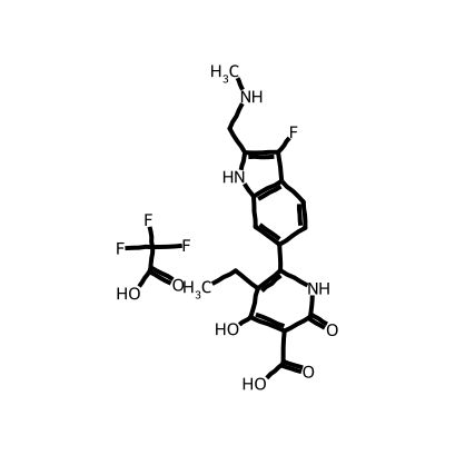 CCc1c(-c2ccc3c(F)c(CNC)[nH]c3c2)[nH]c(=O)c(C(=O)O)c1O.O=C(O)C(F)(F)F